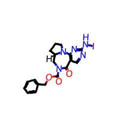 O=C(OCc1ccccc1)N1C[C@@H]2CCCN2c2nc(NI)ncc2C1=O